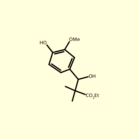 CCOC(=O)C(C)(C)C(O)c1ccc(O)c(OC)c1